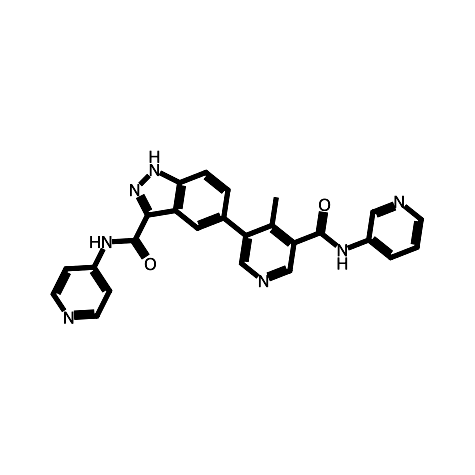 Cc1c(C(=O)Nc2cccnc2)cncc1-c1ccc2[nH]nc(C(=O)Nc3ccncc3)c2c1